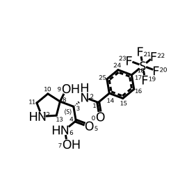 O=C(N[C@H](C(=O)NO)C1(O)CCNC1)c1ccc(S(F)(F)(F)(F)F)cc1